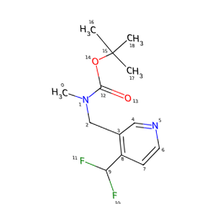 CN(Cc1cnccc1C(F)F)C(=O)OC(C)(C)C